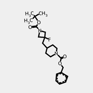 CC(C)(C)OC(=O)N1CC(F)(CC2CCN(C(=O)OCc3ccccc3)CC2)C1